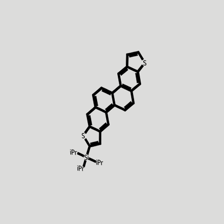 CC(C)[Si](c1cc2cc3c(ccc4c5cc6ccsc6cc5ccc34)cc2s1)(C(C)C)C(C)C